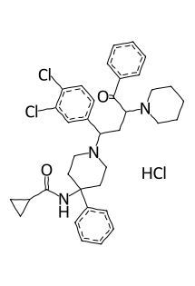 Cl.O=C(NC1(c2ccccc2)CCN(C(CC(C(=O)c2ccccc2)N2CCCCC2)c2ccc(Cl)c(Cl)c2)CC1)C1CC1